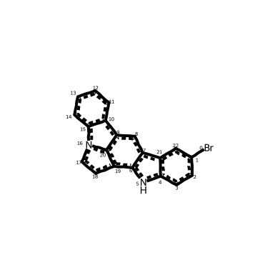 Brc1ccc2[nH]c3c(cc4c5ccccc5n5ccc3c45)c2c1